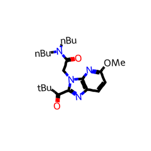 CCCCN(CCCC)C(=O)Cn1c(C(=O)C(C)(C)C)nc2ccc(OC)nc21